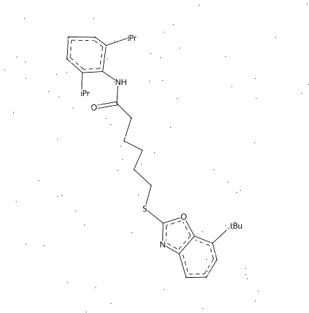 CC(C)c1cccc(C(C)C)c1NC(=O)CCCCCSc1nc2cccc(C(C)(C)C)c2o1